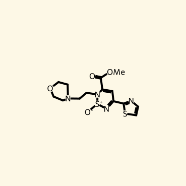 COC(=O)C1=CC(c2nccs2)=N[S+]([O-])N1CCN1CCOCC1